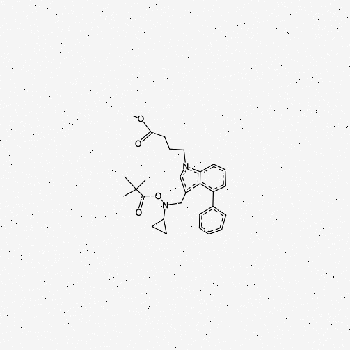 COC(=O)CCCn1cc(CN(OC(=O)C(C)(C)C)C2CC2)c2c(-c3ccccc3)cccc21